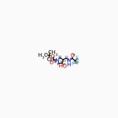 CC(C)(C)OC(=O)N1CC(O)C(CNC(=O)C(F)(F)F)C1